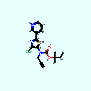 C#CCN(C(=O)OC(C)(C)CC)c1sc(-c2cccnc2)nc1Cl